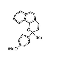 COc1ccc(C2(C(C)(C)C)C=Cc3ccc4ccccc4c3O2)cc1